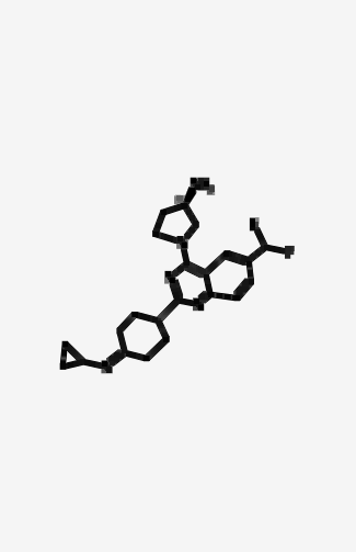 N[C@@H]1CCN(c2nc(C3CCC(=NC4CC4)CC3)nc3ccc(C(F)F)cc23)C1